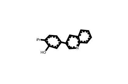 CC(C)c1ccc(-c2cnc3ccccc3c2)cc1O